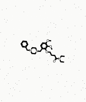 CCN(CC)C(=O)CCCOc1c(CN2CCN(Cc3ccccc3)CC2)ccc(OC)c1OC